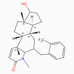 CN1C(=O)C=C[C@@]2(C)C1C(Cc1ccccc1C(F)(F)F)C[C@@H]1[C@H]2CC[C@]2(C)C(O)CC[C@@H]12